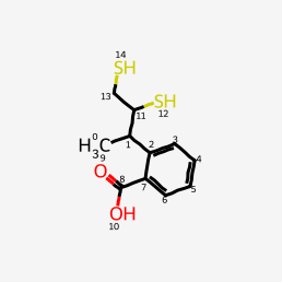 CC(c1ccccc1C(=O)O)C(S)CS